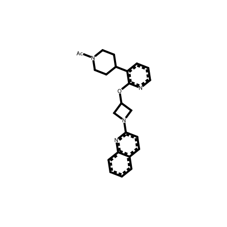 CC(=O)N1CCC(c2cccnc2OC2CN(c3ccc4ccccc4n3)C2)CC1